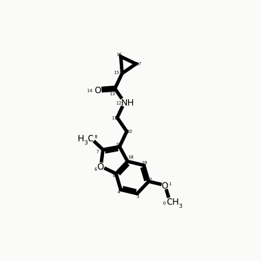 COc1ccc2oc(C)c(CCNC(=O)C3CC3)c2c1